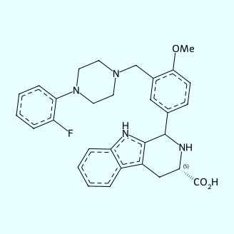 COc1ccc(C2N[C@H](C(=O)O)Cc3c2[nH]c2ccccc32)cc1CN1CCN(c2ccccc2F)CC1